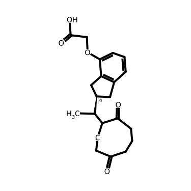 CC(C1CCC(=O)CCCC1=O)[C@@H]1Cc2cccc(OCC(=O)O)c2C1